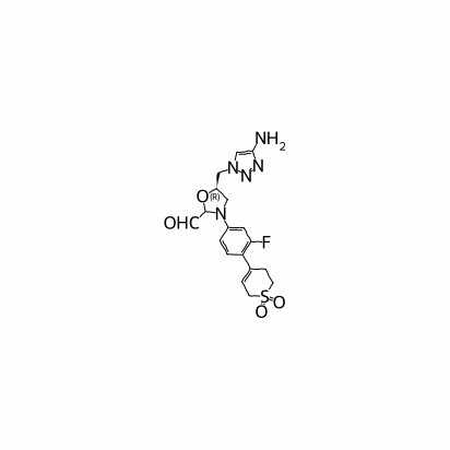 Nc1cn(C[C@H]2CN(c3ccc(C4=CCS(=O)(=O)CC4)c(F)c3)C(C=O)O2)nn1